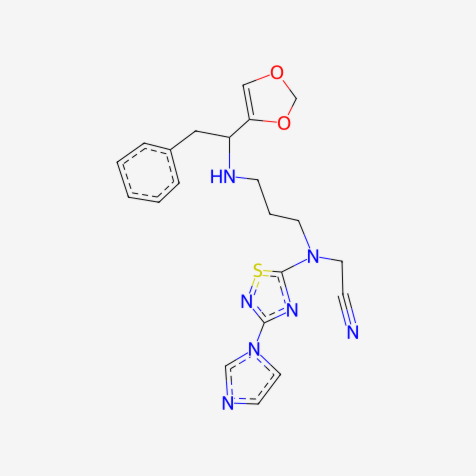 N#CCN(CCCNC(Cc1ccccc1)C1=COCO1)c1nc(-n2ccnc2)ns1